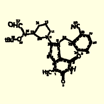 Cn1c(=O)[nH]c(=O)c2c1nc(N1CCCC(N(C=O)OC(C)(C)C)C1)n2Cc1ccccc1C#N